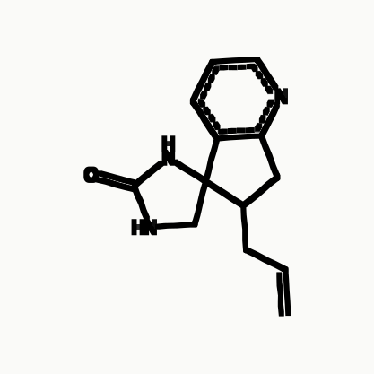 C=CCC1Cc2ncccc2C12CNC(=O)N2